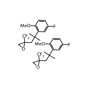 COc1ccc(F)cc1C(C)(C)CC1(C(F)(F)F)CO1.COc1ccc(F)cc1C(C)(C)CC1(C(F)(F)F)CO1